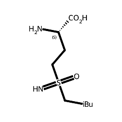 CCC(C)CS(=N)(=O)CC[C@H](N)C(=O)O